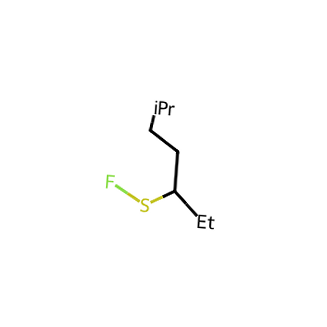 CCC(CCC(C)C)SF